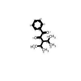 CC(C)C(C(=O)C(=O)c1ccccc1)C(C)C